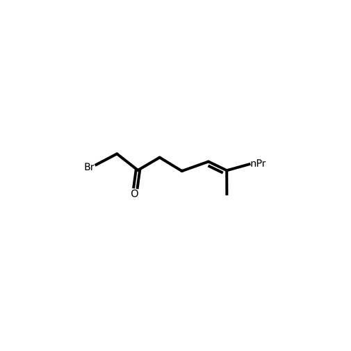 CCC/C(C)=C/CCC(=O)CBr